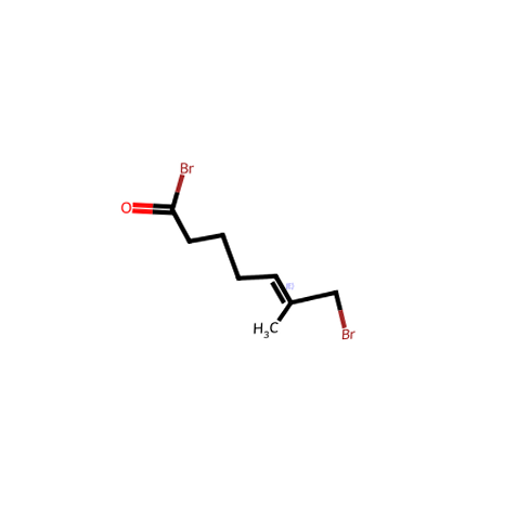 C/C(=C\CCCC(=O)Br)CBr